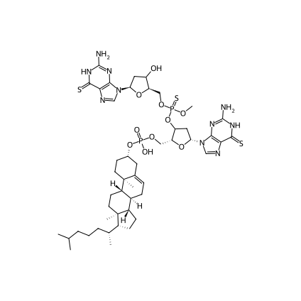 COP(=S)(OC[C@H]1O[C@@H](n2cnc3c(=S)[nH]c(N)nc32)CC1O)OC1C[C@H](n2cnc3c(=S)[nH]c(N)nc32)O[C@@H]1COP(=O)(O)O[C@H]1CC[C@@]2(C)C(=CC[C@H]3[C@@H]4CC[C@H]([C@H](C)CCCC(C)C)[C@@]4(C)CC[C@@H]32)C1